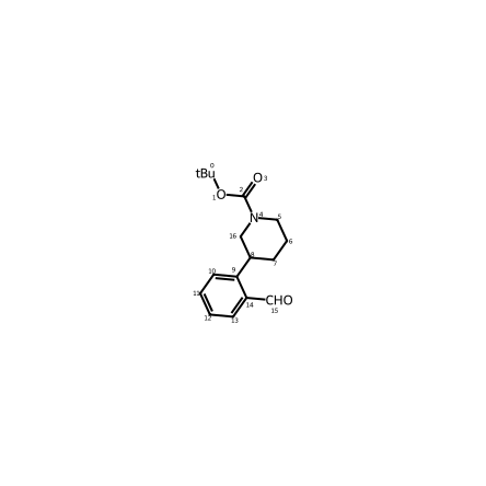 CC(C)(C)OC(=O)N1CCCC(c2ccccc2C=O)C1